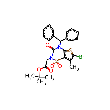 Cc1c(Br)sc2c1S(=O)(=O)N(CC(=O)OC(C)(C)C)C(=O)N2C(c1ccccc1)c1ccccc1